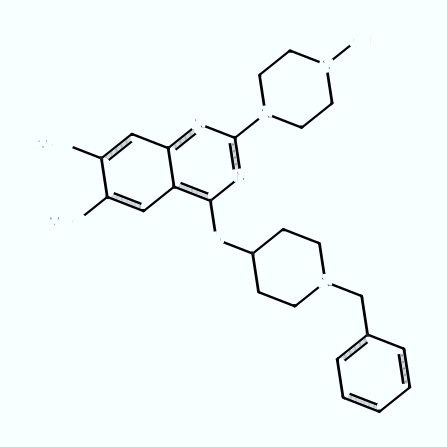 COc1cc2nc(N3CCN(C)CC3)nc(OC3CCN(Cc4ccccc4)CC3)c2cc1OC